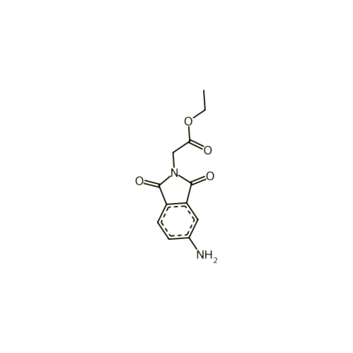 CCOC(=O)CN1C(=O)c2ccc(N)cc2C1=O